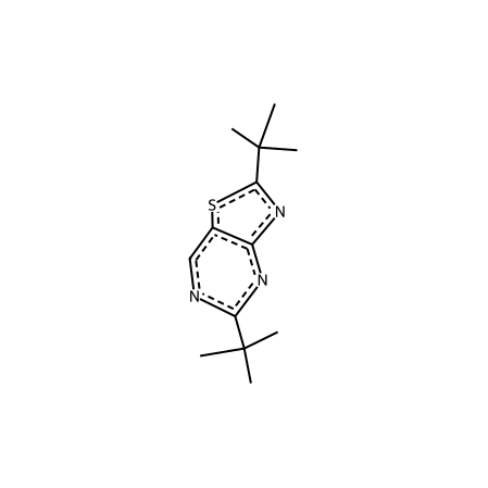 CC(C)(C)c1ncc2sc(C(C)(C)C)nc2n1